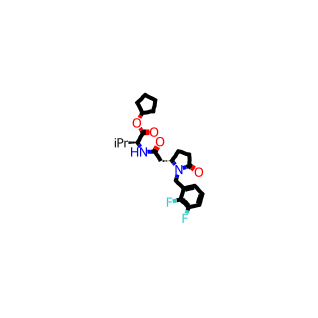 CC(C)[C@H](NC(=O)C[C@@H]1CCC(=O)N1Cc1cccc(F)c1F)C(=O)OC1CCCC1